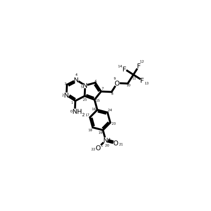 Nc1ncnn2cc(COCC(F)(F)F)c(-c3ccc([N+](=O)[O-])cc3)c12